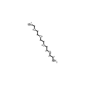 CC(C)(C)COCCOCCOCCOCCN